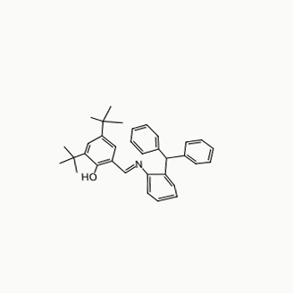 CC(C)(C)c1cc(/C=N/c2ccccc2C(c2ccccc2)c2ccccc2)c(O)c(C(C)(C)C)c1